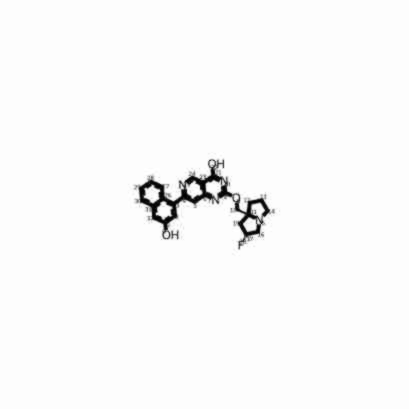 Oc1cc(-c2cc3nc(OC[C@@]45CCCN4C[C@H](F)C5)nc(O)c3cn2)c2ccccc2c1